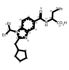 CCC(CC)n1c(CC2CCCC2)nc2cc(C(=O)NC(CC(C)C)C(=O)O)ccc21